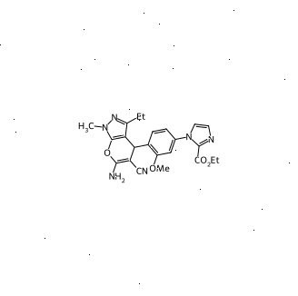 CCOC(=O)c1nccn1-c1ccc(C2C(C#N)=C(N)Oc3c2c(CC)nn3C)c(OC)c1